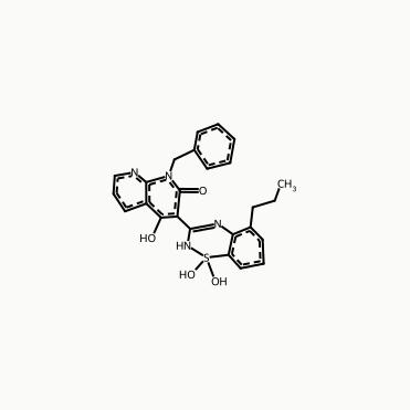 CCCc1cccc2c1N=C(c1c(O)c3cccnc3n(Cc3ccccc3)c1=O)NS2(O)O